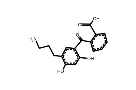 NCCCc1cc(C(=O)c2ccccc2C(=O)O)c(O)cc1O